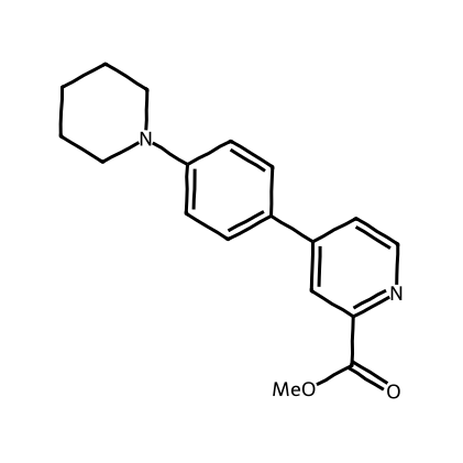 COC(=O)c1cc(-c2ccc(N3CCCCC3)cc2)ccn1